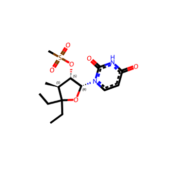 CCC1(CC)O[C@@H](n2ccc(=O)[nH]c2=O)[C@@H](OS(C)(=O)=O)[C@@H]1C